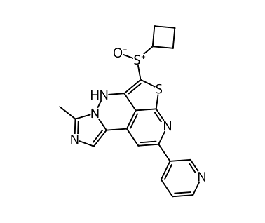 Cc1ncc2c3cc(-c4cccnc4)nc4sc([S+]([O-])C5CCC5)c([nH]n12)c43